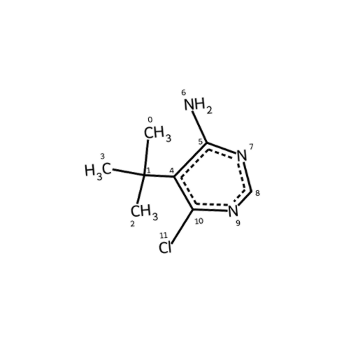 CC(C)(C)c1c(N)ncnc1Cl